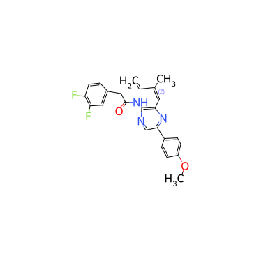 C=C/C(C)=C\c1nc(-c2ccc(OC)cc2)cnc1NC(=O)Cc1ccc(F)c(F)c1